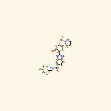 COc1ncccc1-c1ccc(O)c(-c2nc3cc(C(=O)NCC4CCS(=O)(=O)C4)ccc3[nH]2)c1